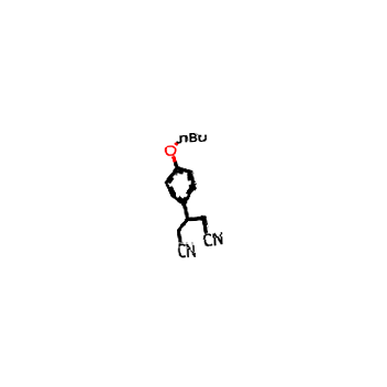 CCCCOc1ccc(C(CC#N)CC#N)cc1